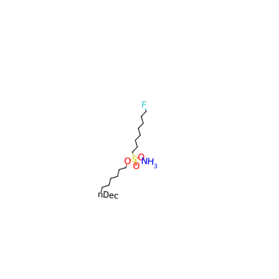 CCCCCCCCCCCCCCCCOS(=O)(=O)CCCCCCCCF.N